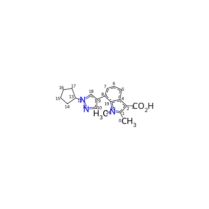 Cc1c(C(=O)O)c2cccc(-c3cnn(C4CCCC4)c3)c2n1C